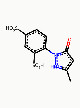 Cc1cc(=O)n(-c2ccc(S(=O)(=O)O)cc2S(=O)(=O)O)[nH]1